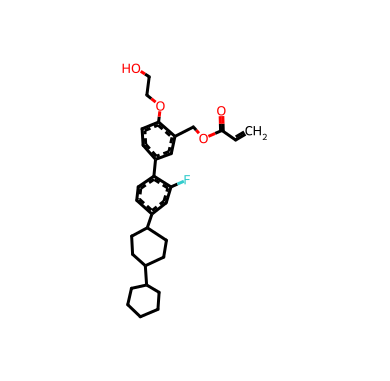 C=CC(=O)OCc1cc(-c2ccc(C3CCC(C4CCCCC4)CC3)cc2F)ccc1OCCO